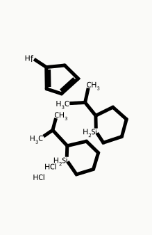 CC(C)C1CCCC[SiH2]1.CC(C)C1CCCC[SiH2]1.Cl.Cl.[Hf][C]1=CC=CC1